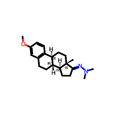 COc1ccc2c(c1)CC[C@@H]1[C@@H]2CC[C@]2(C)C(=NN(C)C)CC[C@@H]12